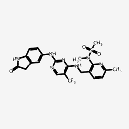 Cc1ccc(CNc2nc(Nc3ccc4c(c3)CC(=O)N4)ncc2C(F)(F)F)c(N(C)S(C)(=O)=O)n1